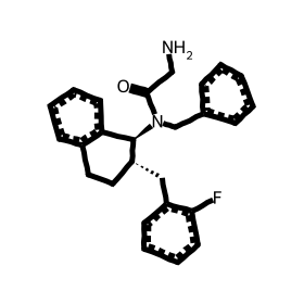 NCC(=O)N(Cc1ccccc1)[C@@H]1c2ccccc2CC[C@H]1Cc1ccccc1F